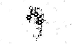 CSCCNCc1ccc(C(O)(c2ccc3c(c2)c(-c2cccc(Cl)c2)cc(=O)n3C)c2cncn2C)cc1